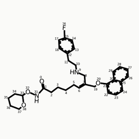 O=C(CCCCC=C(CNCCc1ccc(F)cc1)COc1cccc2ccccc12)NOC1CCCCO1